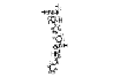 NC[C@H](NC(=O)c1ccc(-c2ccc(NC(=O)CNCCCc3ccccc3)cc2)cc1)C(=O)NO